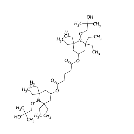 CCC1(CC)CC(OC(=O)CCCC(=O)OC2CC(CC)(CC)N(OCC(C)(C)O)C(CC)(CC)C2)CC(CC)(CC)N1OCC(C)(C)O